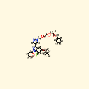 C[C@@H](COCCOCCn1cc(-c2nn(C3CCCCO3)c3c(F)cc(O[Si](C)(C)C(C)(C)C)cc23)cn1)OCc1ccccc1